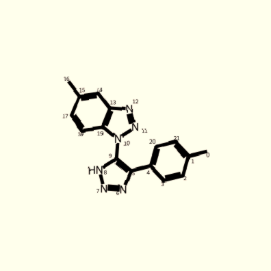 Cc1ccc(-c2nn[nH]c2-n2nnc3cc(C)ccc32)cc1